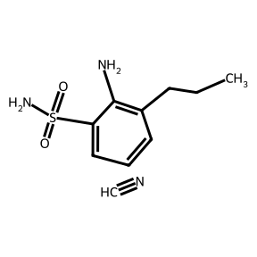 C#N.CCCc1cccc(S(N)(=O)=O)c1N